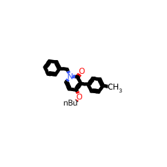 CCCCOc1ccn(Cc2ccccc2)c(=O)c1-c1ccc(C)cc1